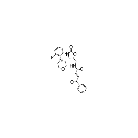 O=C(C=CC(=O)c1ccccc1)NCC1CN(c2cccc(F)c2N2CCOCC2)C(=O)O1